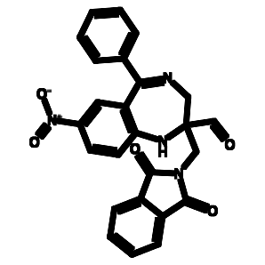 O=CC1(CN2C(=O)c3ccccc3C2=O)CN=C(c2ccccc2)c2cc([N+](=O)[O-])ccc2N1